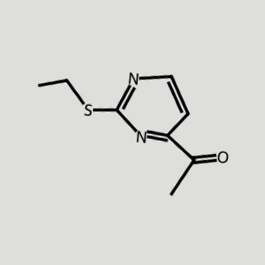 CCSc1nccc(C(C)=O)n1